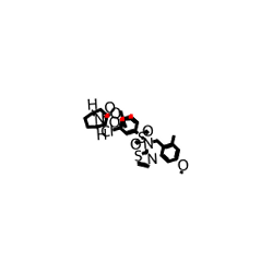 COc1ccc(CN(c2nccs2)S(=O)(=O)c2ccc(O[C@@H]3C[C@H]4CC[C@@H](C3)N4C(=O)OC(C)(C)C)c(Cl)c2)c(C)c1